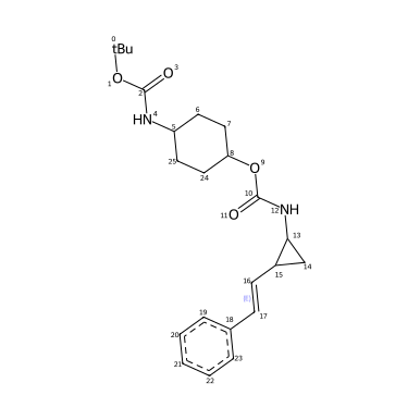 CC(C)(C)OC(=O)NC1CCC(OC(=O)NC2CC2/C=C/c2ccccc2)CC1